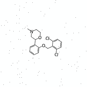 CN1CCOC(c2ccccc2OCc2c(Cl)cccc2Cl)C1